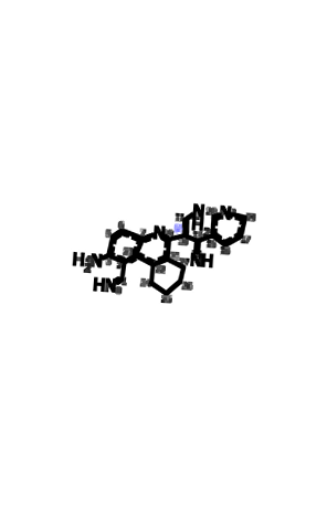 N=Cc1c(N)ccc2nc(/C(=C/N)C(=N)c3cccnc3)c3c(c12)CCCC3